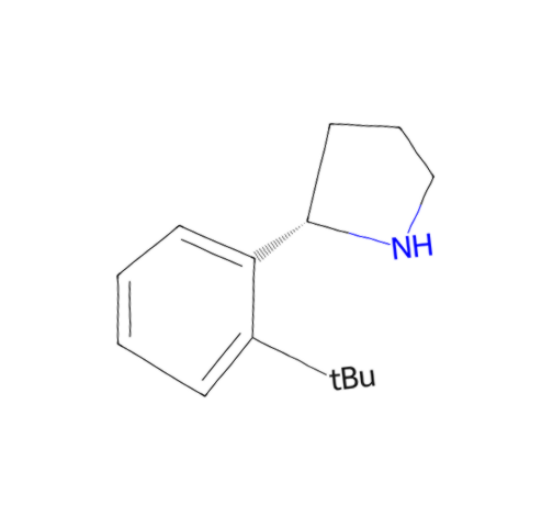 CC(C)(C)c1ccccc1[C@@H]1CCCN1